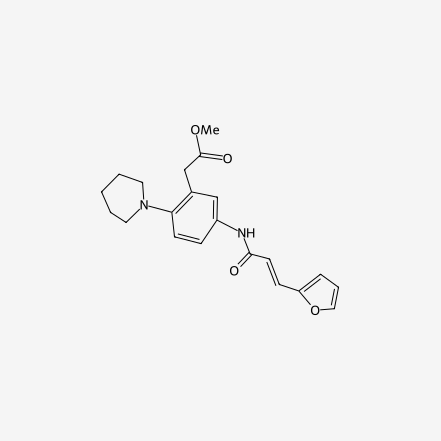 COC(=O)Cc1cc(NC(=O)/C=C/c2ccco2)ccc1N1CCCCC1